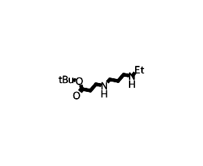 CCNCCCNCCC(=O)OC(C)(C)C